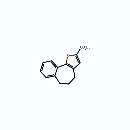 CCOC(=O)c1cc2c(s1)-c1ccccc1CCC2